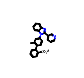 Cc1cc(-n2c(-c3cccnc3)nc3ccccc32)ccc1-c1ccccc1C(=O)O